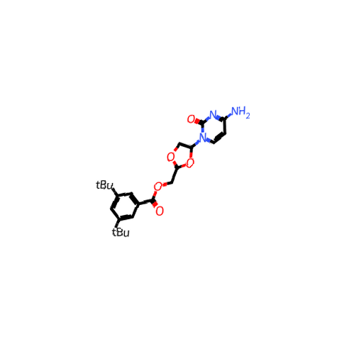 CC(C)(C)c1cc(C(=O)OCC2OCC(n3ccc(N)nc3=O)O2)cc(C(C)(C)C)c1